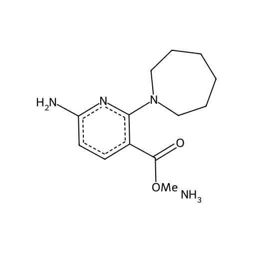 COC(=O)c1ccc(N)nc1N1CCCCCC1.N